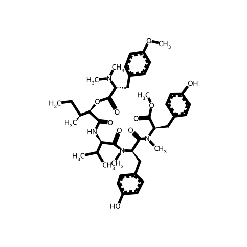 CC[C@@H](C)[C@@H](OC(=O)[C@@H](Cc1ccc(OC)cc1)N(C)C)C(=O)N[C@@H](C(=O)N(C)[C@H](Cc1ccc(O)cc1)C(=O)N(C)[C@H](Cc1ccc(O)cc1)C(=O)OC)C(C)C